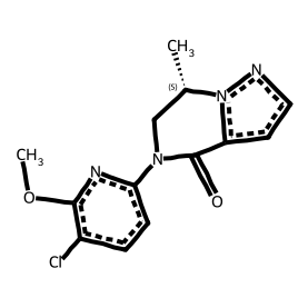 COc1nc(N2C[C@H](C)n3nccc3C2=O)ccc1Cl